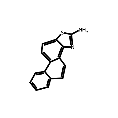 Nc1nc2c(ccc3c4ccccc4ccc32)s1